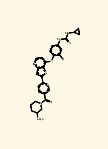 O=C(Nc1ccc(Oc2ccnc3cc(-c4ccc(C(=O)N5CCCC(C(=O)O)C5)cn4)sc23)c(F)c1)NC1CC1